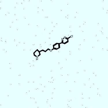 Clc1ccc(-c2ccc(OCCCC3CCCNC3)cc2)nn1